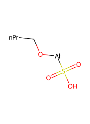 CCCC[O][Al][S](=O)(=O)O